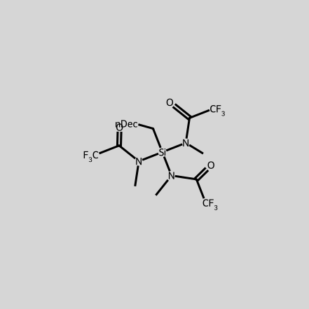 CCCCCCCCCCC[Si](N(C)C(=O)C(F)(F)F)(N(C)C(=O)C(F)(F)F)N(C)C(=O)C(F)(F)F